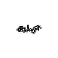 CCc1cc2c(OC[C@@H](O)CN3CCC(O)(c4cccnc4)CC3)cccc2[nH]1